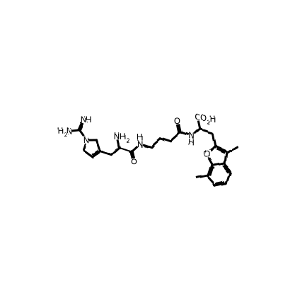 Cc1c(CC(NC(=O)CCCNC(=O)C(N)CC2=CCN(C(=N)N)C2)C(=O)O)oc2c(C)cccc12